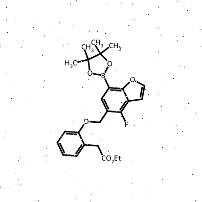 CCOC(=O)Cc1ccccc1OCc1cc(B2OC(C)(C)C(C)(C)O2)c2occc2c1F